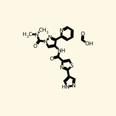 CN(C)C(=O)n1cc(NC(=O)c2csc(-c3cn[nH]c3)n2)c(-c2ccccn2)n1.O=CO